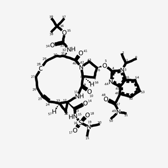 CC(C)n1c(O[C@@H]2C[C@H]3C(=O)N[C@]4(C(=O)NS(=O)(=O)N(C)C)C[C@H]4/C=C\CCCCC[C@H](NC(=O)OC(C)(C)C)C(=O)N3C2)nc2c(C(=O)N(C)C)cccc21